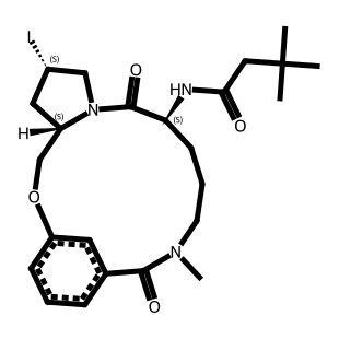 CN1CCC[C@H](NC(=O)CC(C)(C)C)C(=O)N2C[C@@H](I)C[C@H]2COc2cccc(c2)C1=O